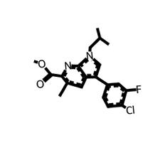 COC(=O)c1nc2c(cc1C)c(-c1ccc(Cl)c(F)c1)cn2CC(C)C